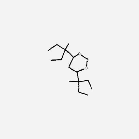 CCC(C)(CC)C1CC(C(C)(CC)CC)[O][Ir][O]1